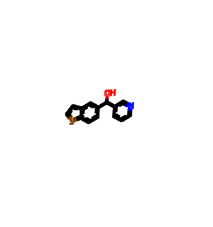 OC(c1cccnc1)c1ccc2sccc2c1